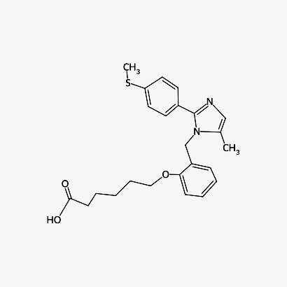 CSc1ccc(-c2ncc(C)n2Cc2ccccc2OCCCCCC(=O)O)cc1